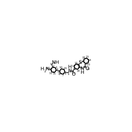 N=Cc1cc(-c2ccc(CNC(=O)c3ccc4c(c3)NC(=O)c3ccccc3S4)cc2)ccc1N